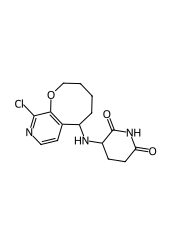 O=C1CCC(NC2CCCCOc3c2ccnc3Cl)C(=O)N1